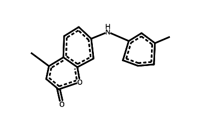 Cc1cccc(Nc2ccc3c(C)cc(=O)oc3c2)c1